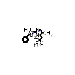 C=C(/C=N\C=C(/C)OCc1ccccc1)[C@@H](N)CC(=O)OC(C)(C)C